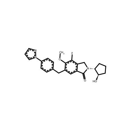 COc1c(Cc2ccc(-n3cccn3)cc2)cc2c(c1F)CN([C@@H]1CCC[C@H]1O)C2=O